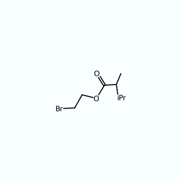 CC(C)C(C)C(=O)OCCBr